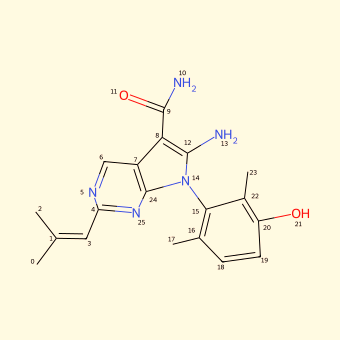 CC(C)=Cc1ncc2c(C(N)=O)c(N)n(-c3c(C)ccc(O)c3C)c2n1